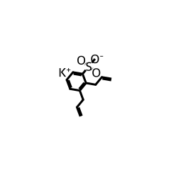 C=CCc1cccc(S(=O)(=O)[O-])c1CC=C.[K+]